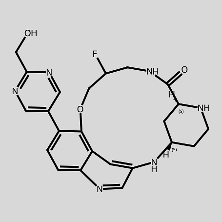 O=C1NCC(F)COc2c(-c3cnc(CO)nc3)ccc3ncc(cc23)N[C@H]2CCN[C@H]1C2